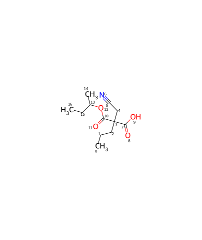 CCCC(CC#N)(C(=O)O)C(=O)OC(C)CC